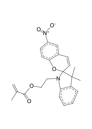 C=C(C)C(=O)OCCN1c2ccccc2C(C)(C)C12C=Cc1cc([N+](=O)[O-])ccc1O2